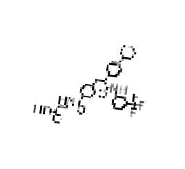 O=C(O)CCNC(=O)c1ccc(CC(C(=O)Nc2cccc(C(F)(F)F)c2)c2ccc(C3CCCCC3)cc2)cc1